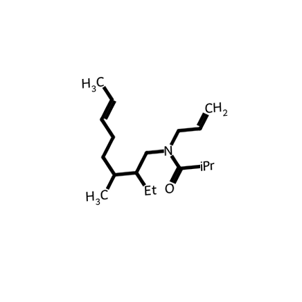 C=CCN(CC(CC)C(C)CC/C=C/C)C(=O)C(C)C